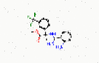 COC(=O)C(C)(NC(N)c1ccccc1N)c1cccc(C(F)(F)F)c1